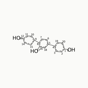 Oc1ccc(-c2ccc(-c3ccc(O)cc3)c(O)c2)cc1